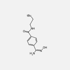 CC(C)(C)CCNC(=O)c1ccc(/C(N)=N\O)cc1